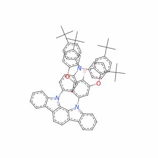 CC(C)(C)c1ccc(N(c2ccc(-n3c4ccccc4c4ccc5c6ccccc6n(-c6cc7c8c(c6)Oc6ccc(C(C)(C)C)cc6B8c6cc(C(C)(C)C)ccc6O7)c5c43)cc2)c2ccc(C(C)(C)C)cc2)cc1